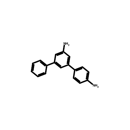 Nc1ccc(-c2cc(N)cc(-c3ccccc3)c2)cc1